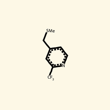 CSCc1ccnc(C(F)(F)F)c1